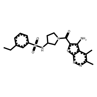 CCc1cccc(S(=O)(=O)NC2CCN(C(=O)c3sc4nnc(C)c(C)c4c3N)C2)c1